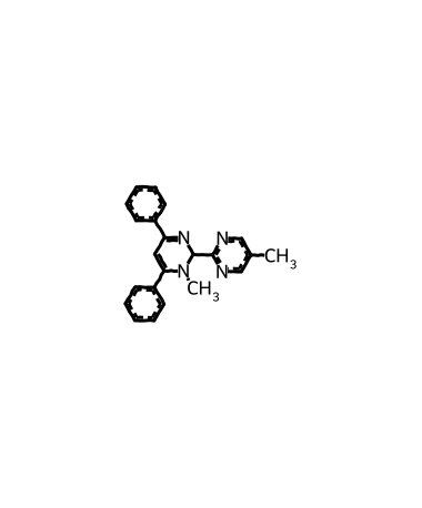 Cc1cnc(C2N=C(c3ccccc3)C=C(c3ccccc3)N2C)nc1